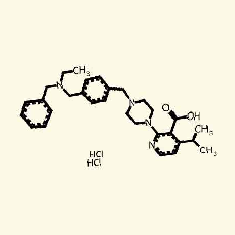 CCN(Cc1ccccc1)Cc1ccc(CN2CCN(c3nccc(C(C)C)c3C(=O)O)CC2)cc1.Cl.Cl